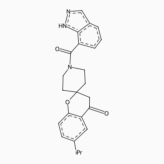 CC(C)c1ccc2c(c1)C(=O)CC1(CCN(C(=O)c3cccc4cn[nH]c34)CC1)O2